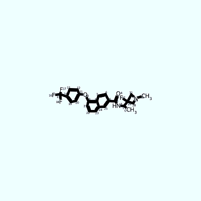 CC(NC(=O)c1ccc2c(Oc3ccc(C(F)(F)F)cc3)cccc2c1)C1(F)CN(C)C1